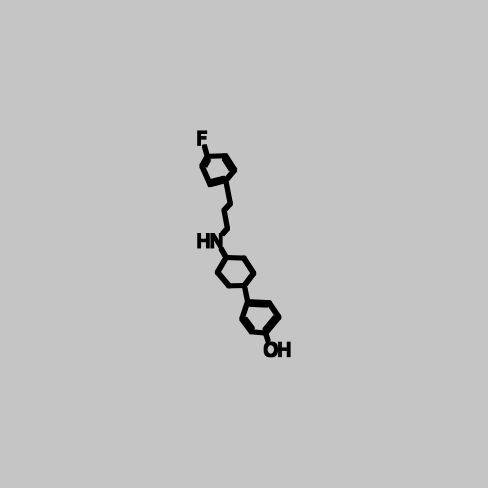 Oc1ccc(C2CCC(NCCCc3ccc(F)cc3)CC2)cc1